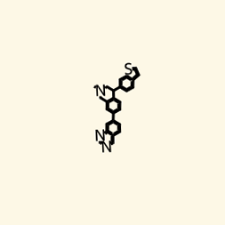 CN1Cc2cc(-c3ccc4cncnc4c3)ccc2C(c2ccc3ccsc3c2)C1